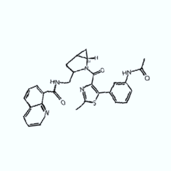 CC(=O)Nc1cccc(-c2sc(C)nc2C(=O)N2C(CNC(=O)c3cccc4cccnc34)CC3C[C@@H]32)c1